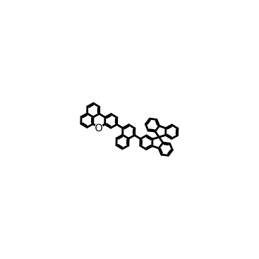 c1ccc2c(c1)-c1ccccc1C21c2ccccc2-c2ccc(-c3ccc(-c4ccc5c(c4)Oc4cccc6cccc-5c46)c4ccccc34)cc21